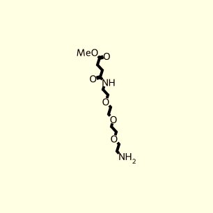 COC(=O)CCC(=O)NCCOCCOCCOCCN